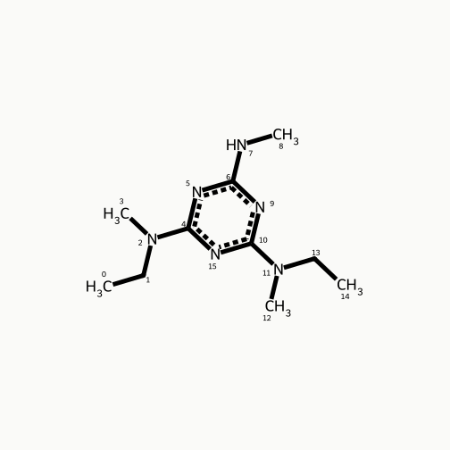 CCN(C)c1nc(NC)nc(N(C)CC)n1